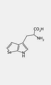 NC(Cc1c[nH]c2[se]ccc12)C(=O)O